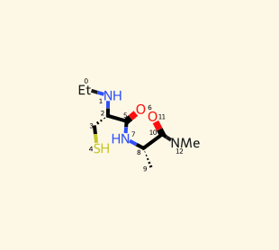 CCN[C@@H](CS)C(=O)N[C@@H](C)C(=O)NC